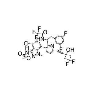 Cn1nc(NS(C)(=O)=O)c2c(Cl)ccc(-c3ccc(C#CC4(O)CC(F)(F)C4)nc3C(Cc3cc(F)cc(F)c3)NC(=O)C(F)(F)F)c21